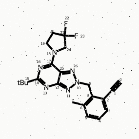 C#Cc1cccc(C)c1Cn1nc2nc(C(C)(C)C)nc(N3CCC(F)(F)C3)c2n1